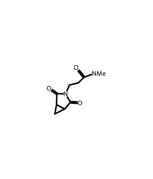 CNC(=O)CCN1C(=O)C2CC2C1=O